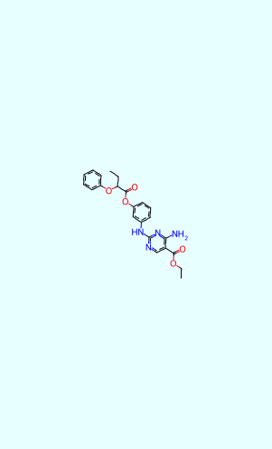 CCOC(=O)c1cnc(Nc2cccc(OC(=O)C(CC)Oc3ccccc3)c2)nc1N